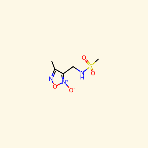 Cc1no[n+]([O-])c1CNS(C)(=O)=O